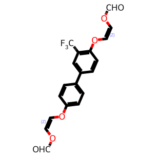 O=CO/C=C\Oc1ccc(-c2ccc(O/C=C\OC=O)c(C(F)(F)F)c2)cc1